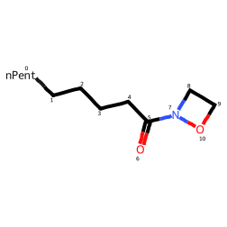 CCCCCCCCCC(=O)N1CCO1